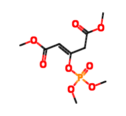 COC(=O)C=C(CC(=O)OC)OP(=O)(OC)OC